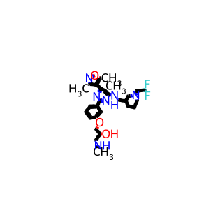 CNCC(O)COc1cccc(-c2nc(NCC3CCCN(CC(F)F)C3)c(C)c(-c3c(C)noc3C)n2)c1